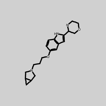 c1cc2[nH]c(C3COCC[N]3)cc2cc1OCCCN1CC2CC2C1